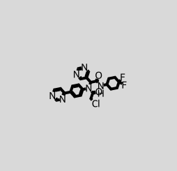 O=C(NC1CCC(F)(F)CC1)C(c1cncnc1)N(C(=O)CCl)c1ccc(-c2ccncn2)cc1